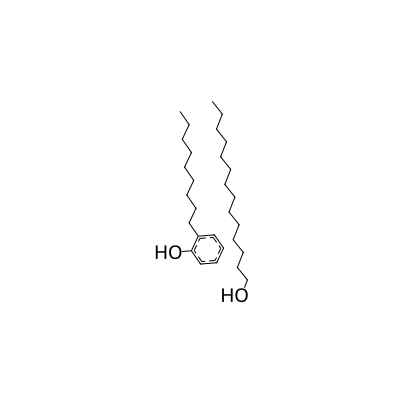 CCCCCCCCCCCCCCO.CCCCCCCCCc1ccccc1O